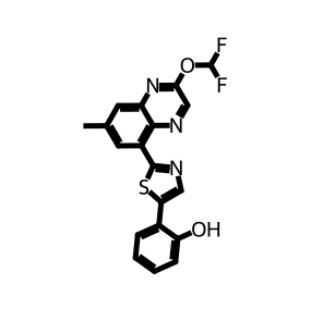 Cc1cc(-c2ncc(-c3ccccc3O)s2)c2ncc(OC(F)F)nc2c1